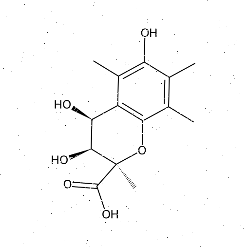 Cc1c(C)c2c(c(C)c1O)[C@H](O)[C@H](O)[C@](C)(C(=O)O)O2